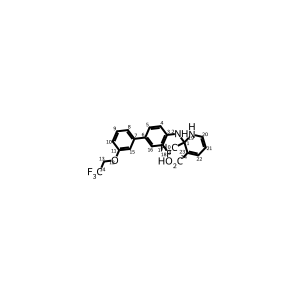 CC1(Nc2ccc(-c3cccc(OCC(F)(F)F)c3)cc2F)NC=CC=C1C(=O)O